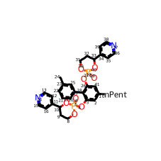 CCCCCc1cc(OP2(=O)OCCC(c3ccncc3)O2)c(-c2cccc(C)c2)c(OP2(=O)OCCC(c3ccncc3)O2)c1